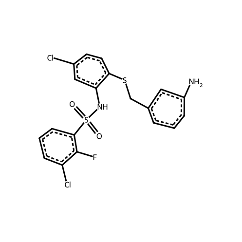 Nc1cccc(CSc2ccc(Cl)cc2NS(=O)(=O)c2cccc(Cl)c2F)c1